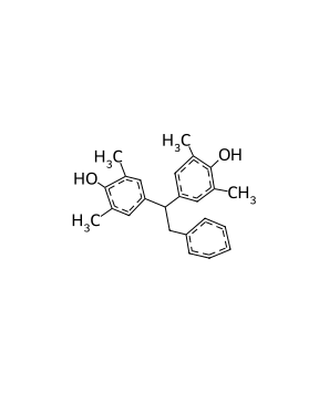 Cc1cc(C(Cc2ccccc2)c2cc(C)c(O)c(C)c2)cc(C)c1O